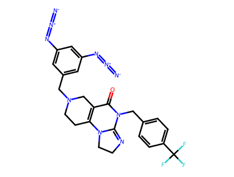 [N-]=[N+]=Nc1cc(CN2CCC3=C(C2)C(=O)N(Cc2ccc(C(F)(F)F)cc2)C2=NCCN23)cc(N=[N+]=[N-])c1